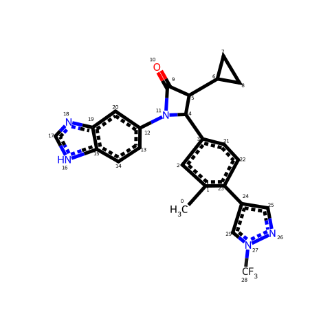 Cc1cc(C2C(C3CC3)C(=O)N2c2ccc3[nH]cnc3c2)ccc1-c1cnn(C(F)(F)F)c1